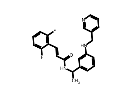 CC(NC(=O)C=Cc1c(F)cccc1F)c1cccc(NCc2cccnc2)c1